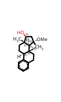 CO[C@@]1(C)C[C@H](O)[C@@]2(C)CC[C@@H]3c4ccccc4CC[C@H]3[C@@H]21